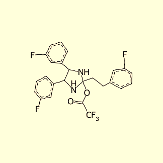 O=C(OC1(CCc2cccc(F)c2)NC(c2cccc(F)c2)C(c2cccc(F)c2)N1)C(F)(F)F